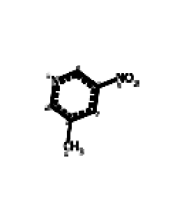 Cc1[c]ncc([N+](=O)[O-])c1